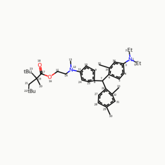 CCN(CC)c1ccc(C(c2ccc(N(C)CCOC(=O)C(C)(CC(C)(C)C)C(C)(C)C)cc2)c2ccc(C)cc2C)c(C)c1